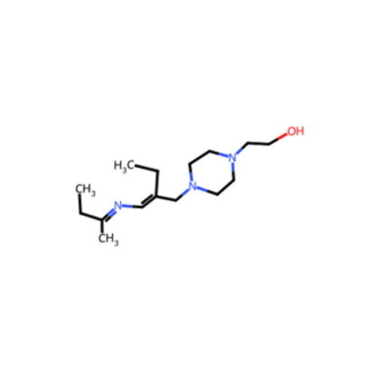 CC/C(=C\N=C(/C)CC)CN1CCN(CCO)CC1